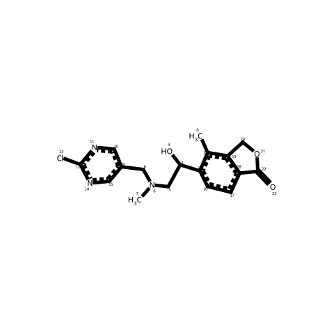 Cc1c(C(O)CN(C)Cc2cnc(Cl)nc2)ccc2c1COC2=O